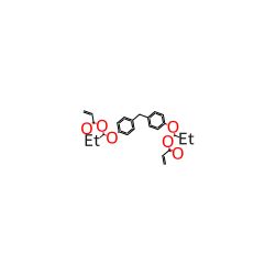 C=CC(=O)OC(CC)Oc1ccc(Cc2ccc(OC(CC)OC(=O)C=C)cc2)cc1